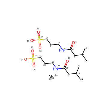 CC(C)CC(=O)NCCCS(=O)(=O)[O-].CC(C)CC(=O)NCCCS(=O)(=O)[O-].[Mg+2]